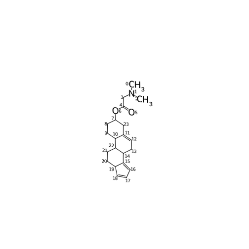 CN(C)CC(=O)OC1CCC2C(=CCC3C4=CC=CC4CCC23)C1